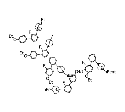 CCCC12CCC(c3cccc(-c4ccc(OCC)cc4)c3F)(CC1)CC2.CCCCC12CCC(c3ccccc3-c3ccc(OCC)cc3F)(CC1)CC2.CCCCCC12CCC(c3ccccc3-c3ccc(OCC)cc3F)(CC1)CC2.CCOc1ccc(-c2cccc(C34CCC(C)(CC3)CC4)c2F)cc1.CCOc1ccc(-c2cccc(C34CCC(CC)(CC3)CC4)c2F)cc1